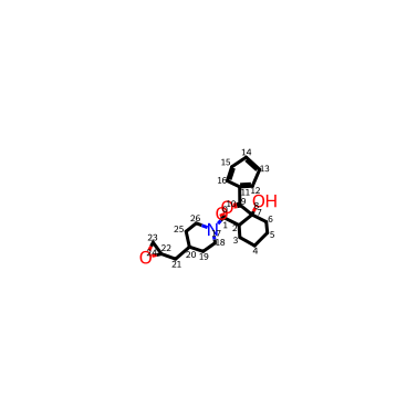 O=C(C1CCCCC1(O)C(=O)c1ccccc1)N1CCC(CC2CO2)CC1